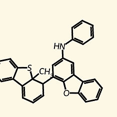 CC12Sc3ccccc3C1=CC=CC2c1cc(Nc2ccccc2)cc2c1oc1ccccc12